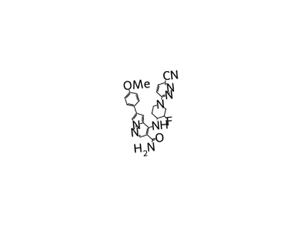 COc1ccc(-c2cc3c(N[C@@H]4CCN(c5ccc(C#N)nn5)C[C@H]4F)c(C(N)=O)cnn3c2)cc1